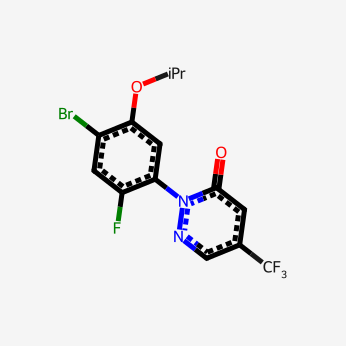 CC(C)Oc1cc(-n2ncc(C(F)(F)F)cc2=O)c(F)cc1Br